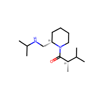 CC(C)NC[C@@H]1CCCCN1C(=O)[C@@H](C)C(C)C